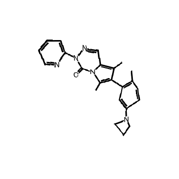 Cc1ccc(N2CCC2)cc1-c1c(C)c2cnn(-c3ccccn3)c(=O)n2c1C